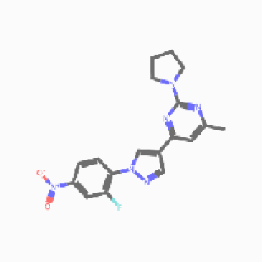 Cc1cc(-c2cnn(-c3ccc([N+](=O)[O-])cc3F)c2)nc(N2CCCC2)n1